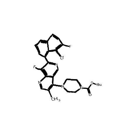 Cc1cnc2c(F)c(-c3cccc4ccc(F)c(Cl)c34)ncc2c1N1CCN(C(=O)OC(C)(C)C)CC1